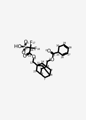 O=C(OCC12CC3CC(C1)CC(COC(=O)C(F)(F)S(=O)(=O)O)(C3)C2)C1C=CC=CC1